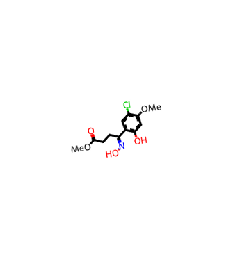 COC(=O)CCC(=NO)c1cc(Cl)c(OC)cc1O